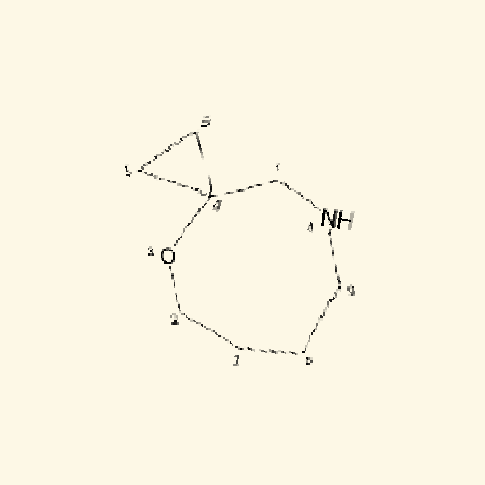 C1CCOC2(CC2)CNC1